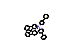 C1=CC2c3ccccc3C3(c4ccccc4-c4ccc(N(C5=CCC(c6ccccc6)C=C5)c5ccc(-c6ccccc6)cc5)cc43)C2C=C1